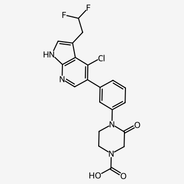 O=C(O)N1CCN(c2cccc(-c3cnc4[nH]cc(CC(F)F)c4c3Cl)c2)C(=O)C1